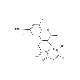 Cc1nc2cc(F)c(Br)cn2c1CN1C(=O)[C@H](C)Oc2c(F)cc(C(C)(C)O)cc21